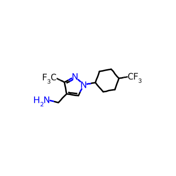 NCc1cn(C2CCC(C(F)(F)F)CC2)nc1C(F)(F)F